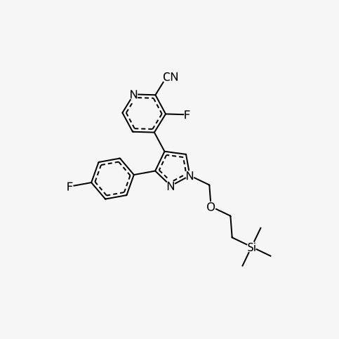 C[Si](C)(C)CCOCn1cc(-c2ccnc(C#N)c2F)c(-c2ccc(F)cc2)n1